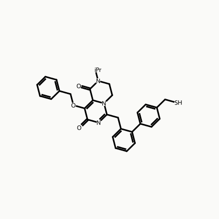 CC(C)N1CCn2c(Cc3ccccc3-c3ccc(CS)cc3)nc(=O)c(OCc3ccccc3)c2C1=O